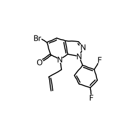 C=CCn1c(=O)c(Br)cc2cnn(-c3ccc(F)cc3F)c21